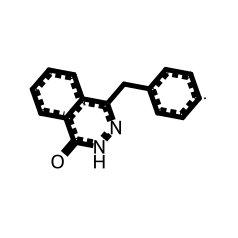 O=c1[nH]nc(Cc2cc[c]cc2)c2ccccc12